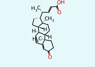 C[C@H](/C=C/C(=O)O)[C@H]1CC[C@H]2[C@@H]3C=CC4=CC(=O)CC[C@]4(C)[C@H]3CC[C@]12C